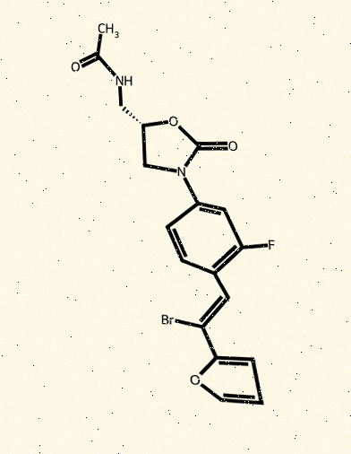 CC(=O)NC[C@H]1CN(c2ccc(C=C(Br)c3ccco3)c(F)c2)C(=O)O1